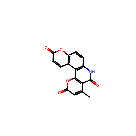 Cc1cc(=O)oc2c1c(=O)[nH]c1ccc3oc(=O)ccc3c12